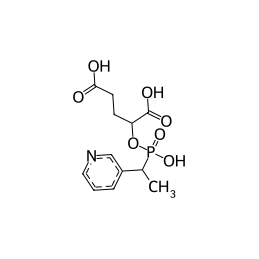 CC(c1cccnc1)P(=O)(O)OC(CCC(=O)O)C(=O)O